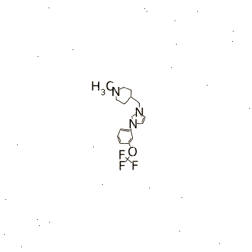 CN1CCC(CN2C=CN(c3cccc(OC(F)(F)F)c3)C2)CC1